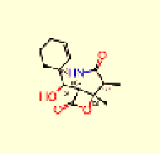 C[C@@H]1C(=O)N[C@@]2([C@@H](O)[C@@H]3C=CCCC3)C(=O)O[C@@]12C